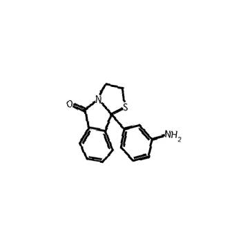 Nc1cccc(C23SCCN2C(=O)c2ccccc23)c1